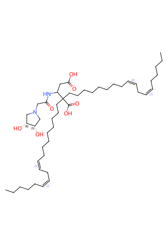 CCCCC/C=C\C/C=C\CCCCCCCCC(CCCCCCCC/C=C\C/C=C\CCCCC)(C(=O)O)C(CC(=O)O)NC(=O)CN1C[C@@H](O)[C@@H](O)C1